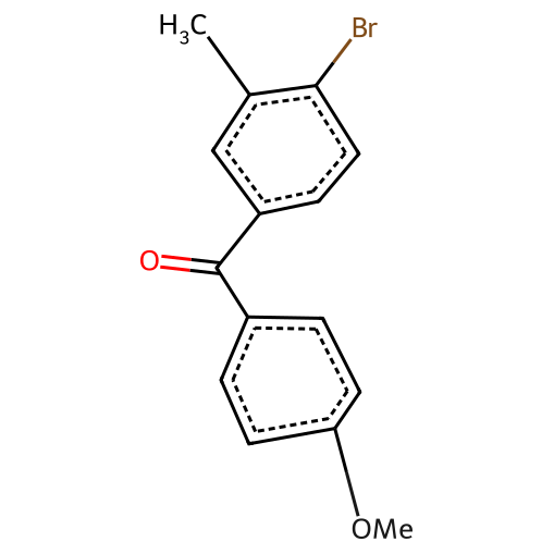 COc1ccc(C(=O)c2ccc(Br)c(C)c2)cc1